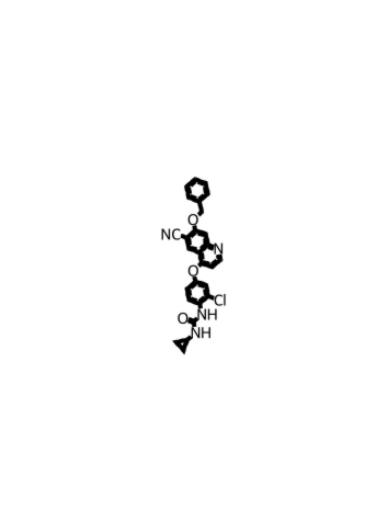 N#Cc1cc2c(Oc3ccc(NC(=O)NC4CC4)c(Cl)c3)ccnc2cc1OCc1ccccc1